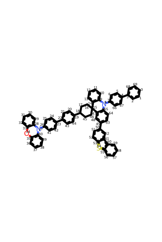 c1ccc(-c2ccc(N3c4ccccc4C4(CCC(c5ccc(-c6ccc(N7c8ccccc8Oc8ccccc87)cc6)cc5)CC4)c4cc(-c5ccc6sc7ccccc7c6c5)ccc43)cc2)cc1